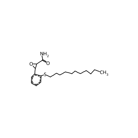 CCCCCCCCCCCSc1ccccc1C1OC1C(N)=O